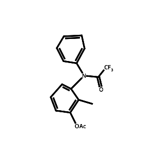 CC(=O)Oc1cccc(N(C(=O)C(F)(F)F)c2ccccc2)c1C